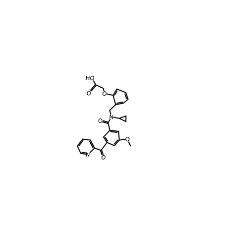 COc1cc(C(=O)c2ccccn2)cc(C(=O)N(Cc2ccccc2OCC(=O)O)C2CC2)c1